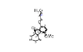 C/C=C/COc1ccc(OC)c2c1C(=O)C1CCCCC21